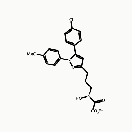 CCOC(=O)C(=O)N(O)CCCc1cc(-c2ccc(Cl)cc2)n(-c2ccc(OC)cc2)n1